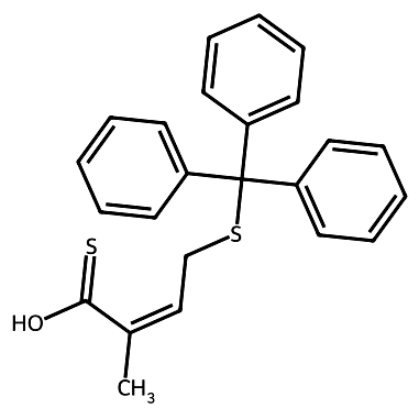 CC(=CCSC(c1ccccc1)(c1ccccc1)c1ccccc1)C(O)=S